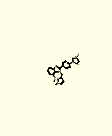 COc1cccc2nc(-c3ccc(N4C[C@@H](F)C[C@@H]4C)nc3)n(Cc3ccn(C)n3)c12